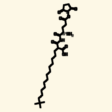 CC(C)(C)CCCCCCCCCCCCCC(C(=O)O)C(=O)NC(=O)[C@@H](N)CCC(=O)ON1C(=O)CCC1=O